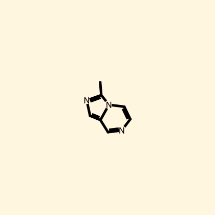 Cc1ncc2cnccn12